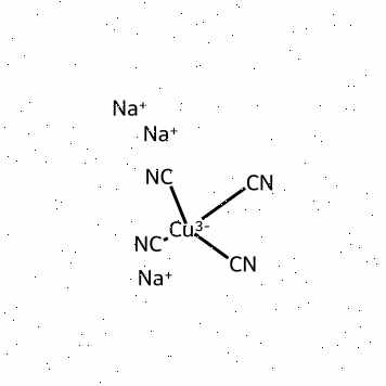 N#[C][Cu-3]([C]#N)([C]#N)[C]#N.[Na+].[Na+].[Na+]